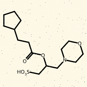 O=C(CCC1CCCC1)OC(CN1CCOCC1)CS(=O)(=O)O